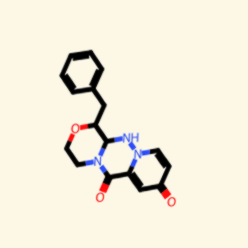 O=C1c2cc(=O)ccn2NC2C(Cc3ccccc3)OCCN12